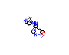 CC(C)n1ncc2ccc(Nc3cc(N4CCC[C@H](N)C4)c(CCC4CCOCC4)cn3)nc21